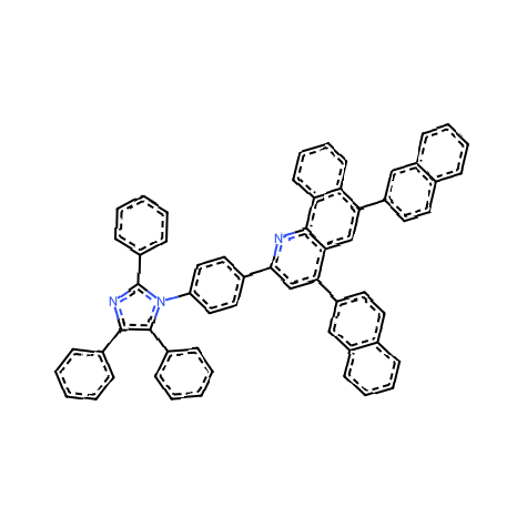 c1ccc(-c2nc(-c3ccccc3)n(-c3ccc(-c4cc(-c5ccc6ccccc6c5)c5cc(-c6ccc7ccccc7c6)c6ccccc6c5n4)cc3)c2-c2ccccc2)cc1